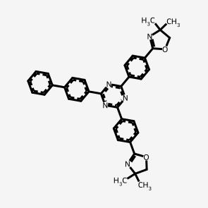 CC1(C)COC(c2ccc(-c3nc(-c4ccc(C5=NC(C)(C)CO5)cc4)nc(-c4ccc(-c5ccccc5)cc4)n3)cc2)=N1